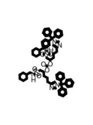 O=C(OC(CCCc1cn(C(c2ccccc2)(c2ccccc2)c2ccccc2)cn1)CS(=O)(=O)NCC1CCCCC1)OC(CCCc1cn(C(c2ccccc2)(c2ccccc2)c2ccccc2)cn1)CS(=O)(=O)NCC1CCCCC1